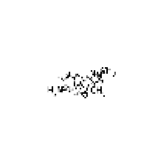 Cc1cn(C)nc1CC1(c2cccc(N)c2)COC1